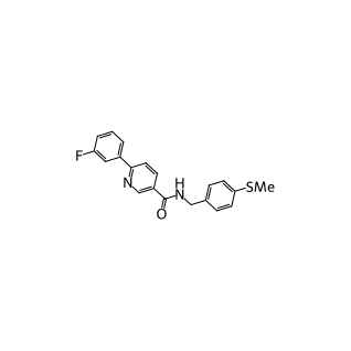 CSc1ccc(CNC(=O)c2ccc(-c3cccc(F)c3)nc2)cc1